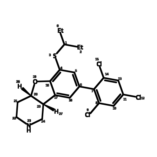 CCC(CC)Sc1cc(-c2c(Cl)cc(Cl)cc2Cl)cc2c1O[C@H]1CCNC[C@@H]21